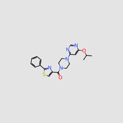 CC(C)Oc1cc(N2CCN(C(=O)c3csc(-c4ccccc4)n3)CC2)ncn1